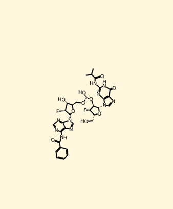 CC(C)C(=O)Nc1nc2c(ncn2[C@@H]2O[C@H](CO)[C@@H](F)[C@H]2OP(O)OC[C@H]2O[C@@H](n3cnc4c(NC(=O)c5ccccc5)ncnc43)[C@@H](F)[C@@H]2O)c(=O)[nH]1